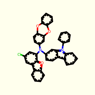 Clc1cc(N(c2ccc3c(c2)Oc2ccccc2O3)c2ccc3c4ccccc4n(-c4ccccc4)c3c2)c2oc3ccccc3c2c1